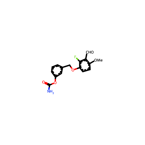 COc1ccc(OCc2cccc(OC(N)=O)c2)c(F)c1C=O